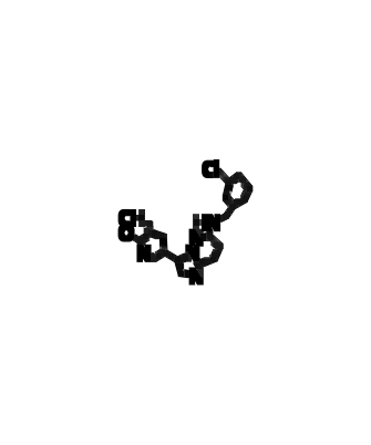 COc1ccc(-c2cnc3ccc(NCc4cccc(Cl)c4)nn23)cn1